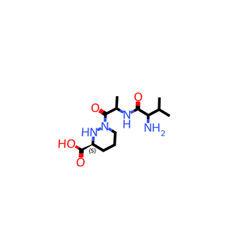 CC(NC(=O)C(N)C(C)C)C(=O)N1CCC[C@@H](C(=O)O)N1